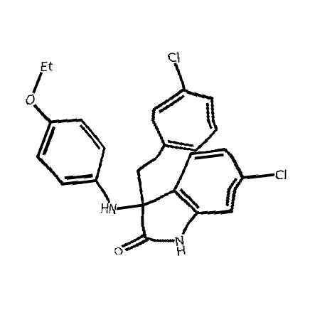 CCOc1ccc(NC2(Cc3cccc(Cl)c3)C(=O)Nc3cc(Cl)ccc32)cc1